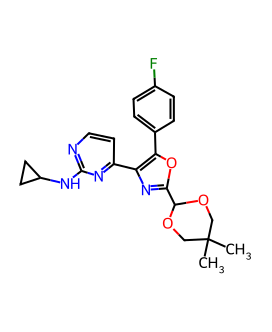 CC1(C)COC(c2nc(-c3ccnc(NC4CC4)n3)c(-c3ccc(F)cc3)o2)OC1